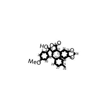 COc1ccc(C2(O)OC(=O)C(c3ccc4c(c3)OCO4)=C2Cc2ccc(C)cc2)cc1